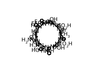 CCCC[C@H]1C(=O)N2C[C@H](O)C[C@@H]2C(=O)N[C@@H](CC(=O)O)C(=O)N[C@@H](C(C)C)C(=O)N(C)[C@@H](Cc2ccccc2)C(=O)N[C@@H](CC(=O)O)C(=O)N2C[C@H](O)C[C@H]2C(=O)N[C@@H](Cc2c[nH]c3ccccc23)C(=O)N[C@@H](Cc2ccc(O)cc2)C(=O)N[C@@H](CN)C(=O)N[C@H](C(=O)NCC(N)=O)CSCC(=O)N[C@@H](Cc2cc(F)c(F)c(F)c2)C(=O)N(C)[C@@H](Cc2ccccc2)C(=O)N1C